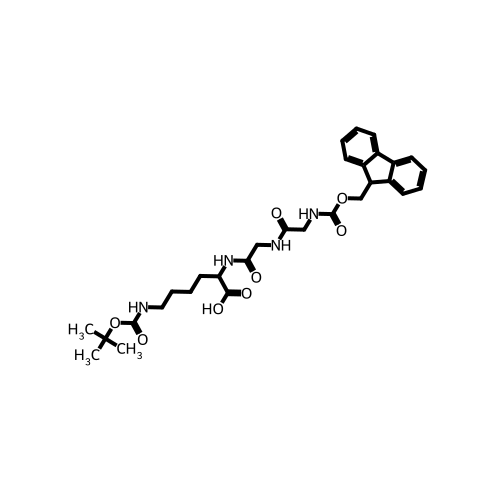 CC(C)(C)OC(=O)NCCCCC(NC(=O)CNC(=O)CNC(=O)OCC1c2ccccc2-c2ccccc21)C(=O)O